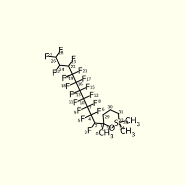 CC1(C(F)C(F)(F)C(F)(F)C(F)(F)C(F)(F)C(F)(F)C(F)(F)C(F)C(F)C(F)F)CCC[Si](C)(C)O1